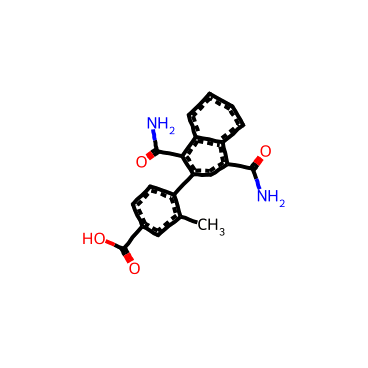 Cc1cc(C(=O)O)ccc1-c1cc(C(N)=O)c2ccccc2c1C(N)=O